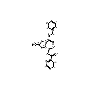 O=C(OC(=O)[C@@H]1C[C@@H](O)CN1C(=O)OCc1ccccc1)c1ccccc1